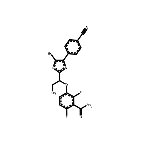 N#Cc1ccc(-c2nc(C(CO)Oc3ccc(F)c(C(N)=O)c3F)oc2Br)cc1